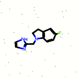 Fc1ccc2c(c1)CCN2Cc1ncc[nH]1